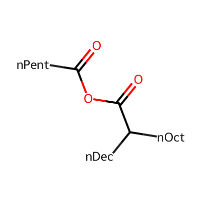 CCCCCCCCCCC(CCCCCCCC)C(=O)OC(=O)CCCCC